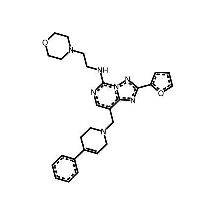 C1=C(c2ccccc2)CCN(Cc2cnc(NCCN3CCOCC3)n3nc(-c4ccco4)nc23)C1